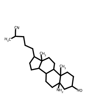 CC(C#N)CCCC1CCC2C3CCC4(N)CC(N=O)CCC4(C)C3CCC12C